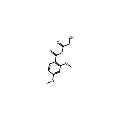 COc1ccc(C(=S)SC(=O)CO)c(OC)c1